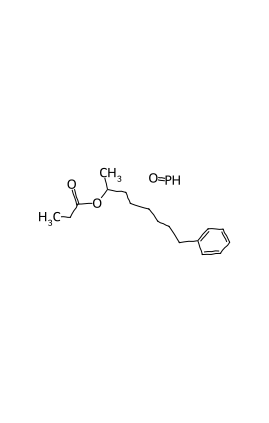 CCC(=O)OC(C)CCCCCCc1ccccc1.O=P